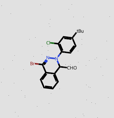 CC(C)(C)c1ccc(N2N=C(Br)c3ccccc3C2C=O)c(Cl)c1